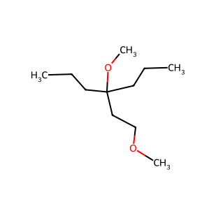 CCCC(CCC)(CCOC)OC